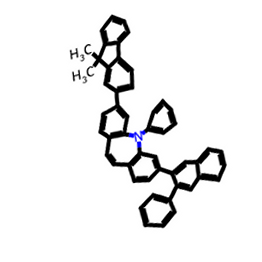 CC1(C)c2ccccc2-c2ccc(-c3ccc4c(c3)N(c3ccccc3)c3cc(-c5cc6ccccc6cc5-c5ccccc5)ccc3C=C4)cc21